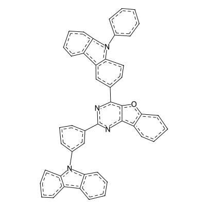 c1ccc(-n2c3ccccc3c3cc(-c4nc(-c5cccc(-n6c7ccccc7c7ccccc76)c5)nc5c4oc4ccccc45)ccc32)cc1